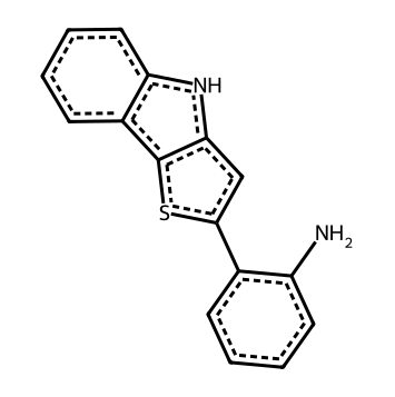 Nc1ccccc1-c1cc2[nH]c3ccccc3c2s1